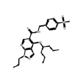 CCCC(CCC)Nc1c(C(=O)NCc2ccc(S(C)(=O)=O)cc2)cnc2c1cnn2CCC